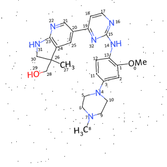 COc1cc(N2CCN(C)CC2)ccc1Nc1nccc(-c2cnc3c(c2)C(C)(CO)CN3)n1